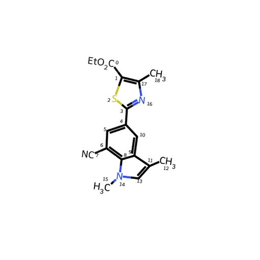 CCOC(=O)c1sc(-c2cc(C#N)c3c(c2)c(C)cn3C)nc1C